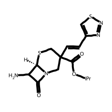 CC(C)OC(=O)C1(C=Cc2csnn2)CS[C@@H]2C(N)C(=O)N2C1